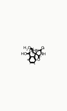 C=CCC1(c2ccccc2C(=O)O)NC(=O)NC1=O